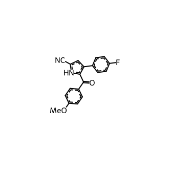 COc1ccc(C(=O)c2[nH]c(C#N)cc2-c2ccc(F)cc2)cc1